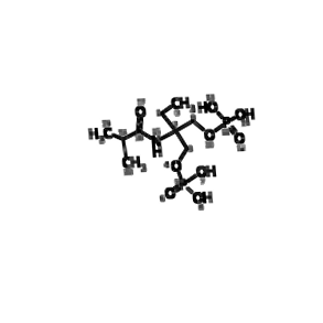 CCC(COP(=O)(O)O)(COP(=O)(O)O)NC(=O)C(C)C